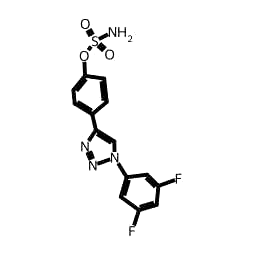 NS(=O)(=O)Oc1ccc(-c2cn(-c3cc(F)cc(F)c3)nn2)cc1